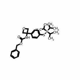 CC(C)[Si](Sc1ccc(C2(NC(=O)OCc3ccccc3)COC2)cc1)(C(C)C)C(C)C